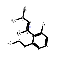 CCc1cccc(CCC(C)(C)C)c1/C(C)=C/N(C)CC